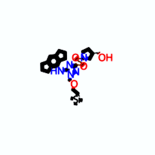 C[Si](C)(C)CCOCn1nc(S(=O)(=O)N2CC[C@H](CO)C2)nc1Nc1c2c(cc3c1CCC3)CCC2